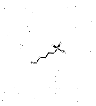 CCCCCOCCOS(C)(=O)=O